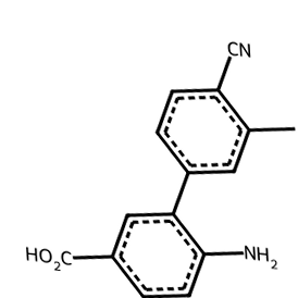 Cc1cc(-c2cc(C(=O)O)ccc2N)ccc1C#N